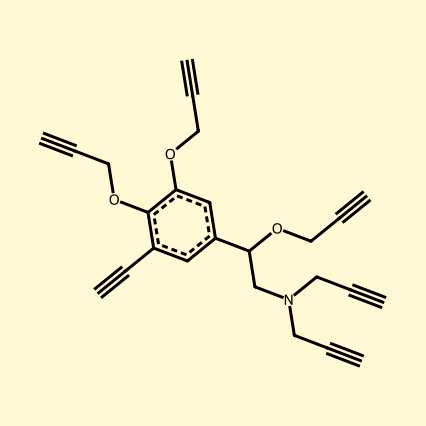 C#CCOc1cc(C(CN(CC#C)CC#C)OCC#C)cc(C#C)c1OCC#C